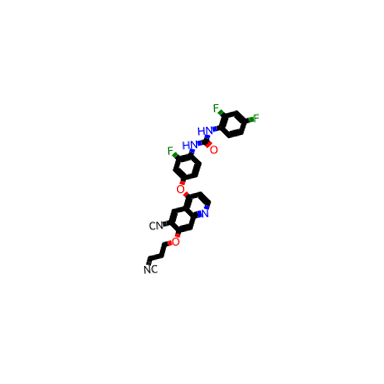 [C-]#[N+]CCCOc1cc2nccc(Oc3ccc(NC(=O)Nc4ccc(F)cc4F)c(F)c3)c2cc1[N+]#[C-]